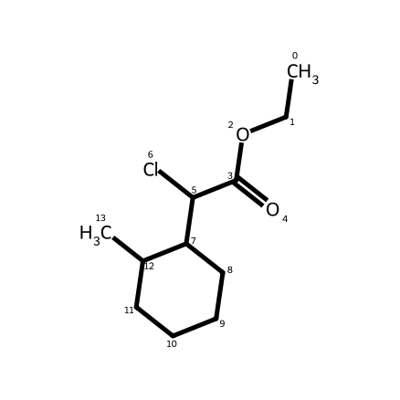 CCOC(=O)C(Cl)C1CCCCC1C